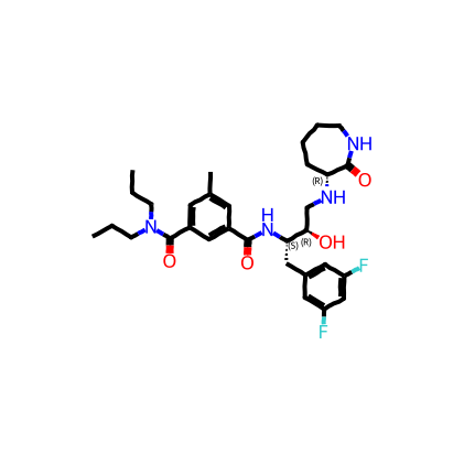 CCCN(CCC)C(=O)c1cc(C)cc(C(=O)N[C@@H](Cc2cc(F)cc(F)c2)[C@H](O)CN[C@@H]2CCCCNC2=O)c1